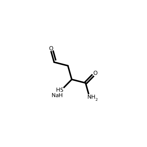 NC(=O)C(S)CC=O.[NaH]